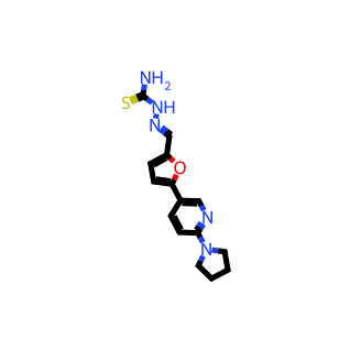 NC(=S)N/N=C/c1ccc(-c2ccc(N3CCCC3)nc2)o1